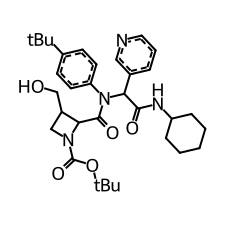 CC(C)(C)OC(=O)N1CC(CO)C1C(=O)N(c1ccc(C(C)(C)C)cc1)C(C(=O)NC1CCCCC1)c1cccnc1